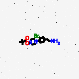 CC(C)(C)C(=O)ON1CCN(c2ccc(CCN)cc2Br)CC1